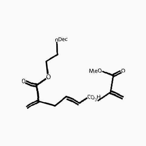 C=C(C)C(=O)OC.C=C(CC=CC(=O)O)C(=O)OCCCCCCCCCCCC